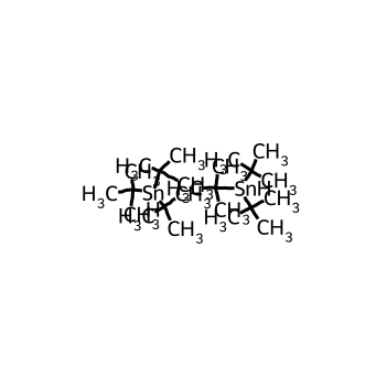 C[C](C)(C)[SnH]([C](C)(C)C)[C](C)(C)C.C[C](C)(C)[SnH]([C](C)(C)C)[C](C)(C)C